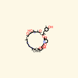 CO[C@H]1C[C@@H]2CC[C@@H](C)[C@@](O)(O2)C(=O)C(=O)N2CCCC[C@H]2C(=O)O[C@H]([C@H](C)C[C@@H]2CC[C@@H](O)[C@H](C)C2)CC(=O)[C@H](C)/C=C(\C)[C@@H](O)[C@@H](C)C(=O)[C@H](C)C[C@H](C)/C=C/C=C/C=C/1C